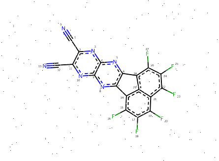 N#Cc1nc2nc3c(nc2nc1C#N)-c1c(F)c(F)c(F)c2c(F)c(F)c(F)c-3c12